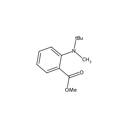 COC(=O)c1ccccc1N(C)C(C)(C)C